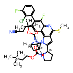 CSc1nc2c(F)c(-c3cccc(F)c3Cl)c(CCC#N)cc2c2c1cc([C@H]1CCCN1C(=O)OCC[Si](C)(C)C)n2[C@H]1[C@@H]2C[C@H]1N(C(=O)OC(C)(C)C)C2